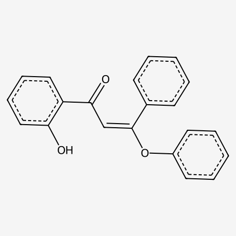 O=C(C=C(Oc1ccccc1)c1ccccc1)c1ccccc1O